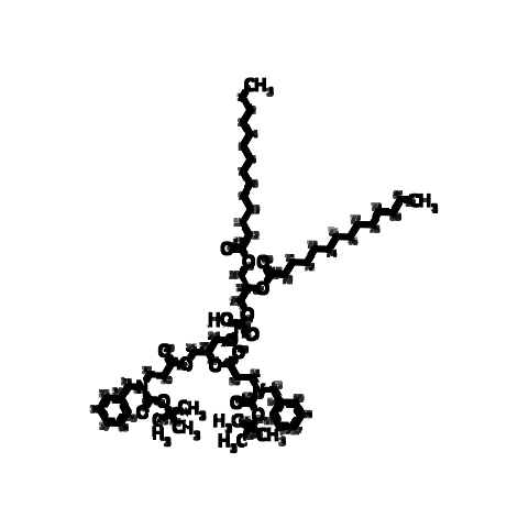 CCCCCCCCCCCCCC(=O)OC[C@H](COP(=O)(O)OCC(COC(=O)CCN(Cc1ccccc1)C(=O)OC(C)(C)C)OC(=O)CCN(Cc1ccccc1)C(=O)OC(C)(C)C)OC(=O)CCCCCCCCCCCCC